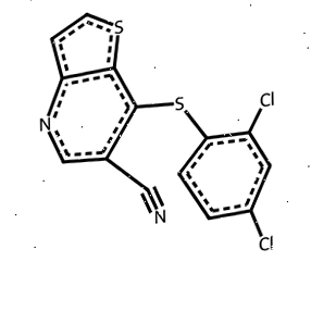 N#Cc1cnc2ccsc2c1Sc1ccc(Cl)cc1Cl